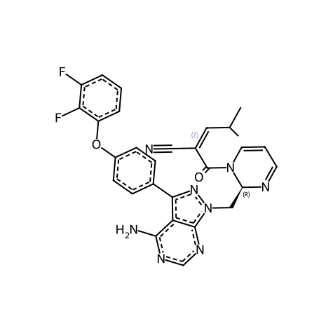 CC(C)/C=C(/C#N)C(=O)N1C=CC=N[C@H]1Cn1nc(-c2ccc(Oc3cccc(F)c3F)cc2)c2c(N)ncnc21